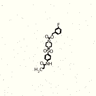 C=CC(=O)Nc1ccc(S(=O)(=O)N2CCN(C(=O)OCc3cccc(F)c3)CC2)cc1